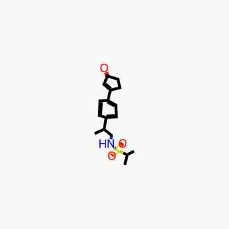 CC(CNS(=O)(=O)C(C)C)c1ccc(C2=CC(=O)CC2)cc1